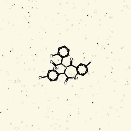 O=C1Nc2ccc(I)cc2C(=O)N(C(C(=O)O)c2ccccc2Cl)C1c1ccc(Cl)cc1